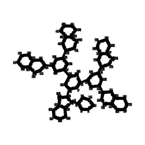 c1ccc(-n2c(-c3cc(-c4cc(-c5cnc6ccccc6c5)cc(-c5cnc6ccccc6c5)c4)nc(-c4cc(-c5cnc6ccccc6c5)cc(-c5cnc6ccccc6c5)c4)c3)nc3ccccc32)cc1